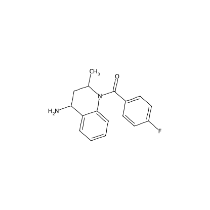 CC1CC(N)c2ccccc2N1C(=O)c1ccc(F)cc1